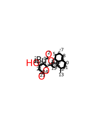 CCC(C)C(=O)O[C@@H]1C[C@H](C)C=C2C=C[C@@H](C)[C@@H](CC[C@@H]3C[C@@H](O)CC(=O)O3)[C@@H]21